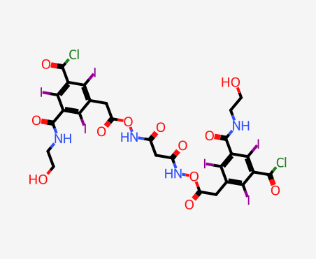 O=C(CC(=O)NOC(=O)Cc1c(I)c(C(=O)Cl)c(I)c(C(=O)NCCO)c1I)NOC(=O)Cc1c(I)c(C(=O)Cl)c(I)c(C(=O)NCCO)c1I